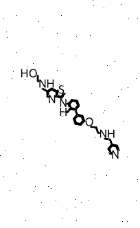 Cc1c(Nc2csc3cc(CNCCO)cnc23)cccc1-c1cccc(OCCCNCCc2ccncc2)c1